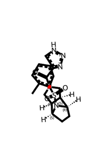 Cc1ccccc1S(=O)(=O)N1[C@@H]2CC[C@H]1[C@H]1CN(C(=O)c3c[nH]nn3)C[C@H]12